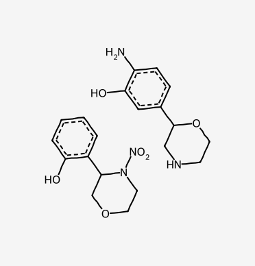 Nc1ccc(C2CNCCO2)cc1O.O=[N+]([O-])N1CCOCC1c1ccccc1O